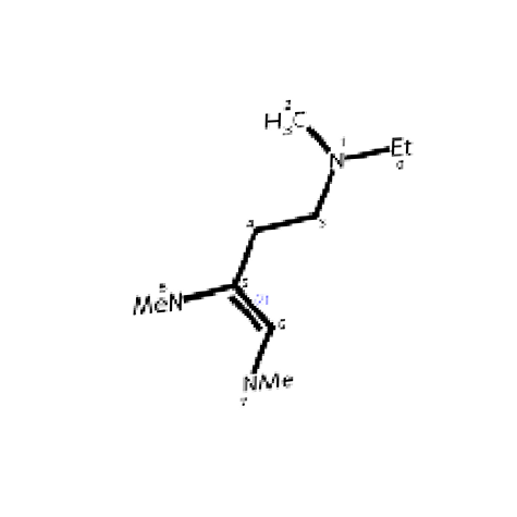 CCN(C)CC/C(=C/NC)NC